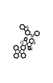 c1ccc(N(c2cnc3c(c2)C2(c4ccccc4Oc4cc5c(cc42)-c2ccccc2C52c4ccccc4-c4ccccc42)c2cccnc2-3)c2ccc3c(c2)sc2ccccc23)cc1